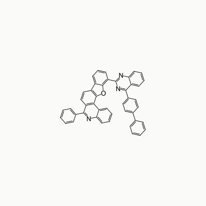 c1ccc(-c2ccc(-c3nc(-c4cccc5c4oc4c5ccc5c(-c6ccccc6)nc6ccccc6c54)nc4ccccc34)cc2)cc1